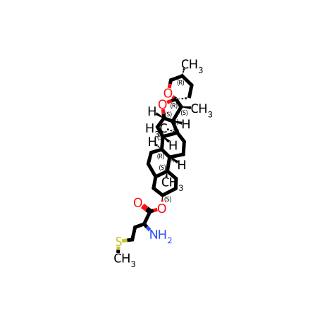 CSCCC(N)C(=O)O[C@H]1CC[C@@]2(C)C(CC[C@H]3[C@@H]4C[C@@H]5O[C@]6(CC[C@@H](C)CO6)[C@@H](C)[C@@H]5[C@@]4(C)CC[C@@H]32)C1